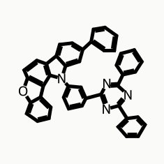 c1ccc(-c2ccc3c4ccc5oc6ccccc6c5c4n(-c4cccc(-c5nc(-c6ccccc6)nc(-c6ccccc6)n5)c4)c3c2)cc1